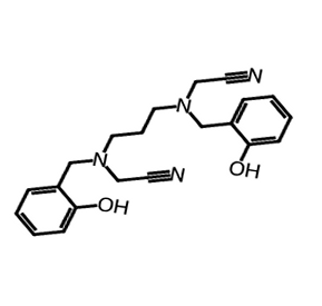 N#CCN(CCCN(CC#N)Cc1ccccc1O)Cc1ccccc1O